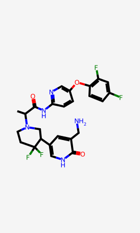 CC(C(=O)Nc1ccc(Oc2ccc(F)cc2F)cn1)N1CCC(F)(F)C(c2c[nH]c(=O)c(CN)c2)C1